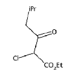 CCOC(=O)C(Cl)C(=O)CC(C)C